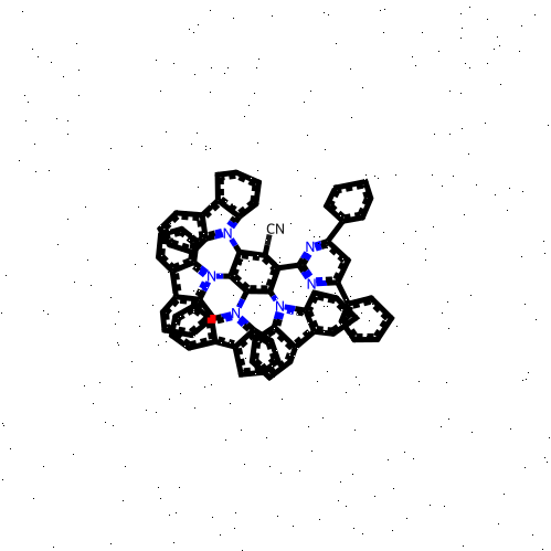 N#Cc1c(-c2nc(-c3ccccc3)cc(-c3ccccc3)n2)c(-n2c3ccccc3c3ccccc32)c(-n2c3ccccc3c3ccccc32)c(-n2c3ccccc3c3ccccc32)c1-n1c2ccccc2c2ccccc21